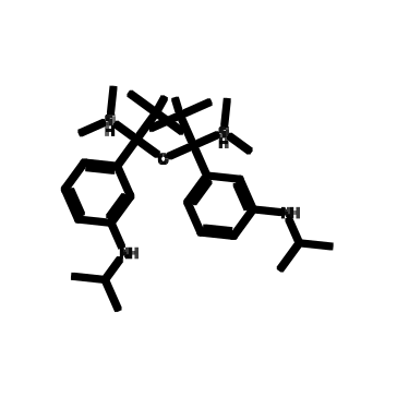 CC(C)Nc1cccc(C(OC(c2cccc(NC(C)C)c2)([SiH](C)C)C(C)(C)C)([SiH](C)C)C(C)(C)C)c1